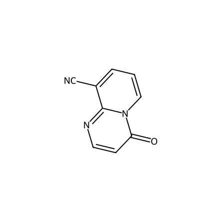 N#Cc1cccn2c(=O)ccnc12